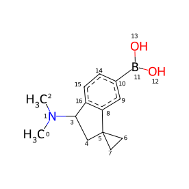 CN(C)C1CC2(CC2)c2cc(B(O)O)ccc21